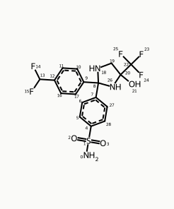 NS(=O)(=O)c1ccc(C2(c3ccc(C(F)F)cc3)NCC(O)(C(F)(F)F)N2)cc1